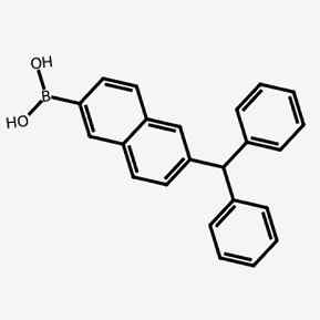 OB(O)c1ccc2cc(C(c3ccccc3)c3ccccc3)ccc2c1